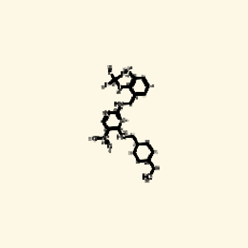 O=[N+]([O-])c1cnc(NCc2cccc(Br)c2OC(F)(F)F)nc1NCC1CCC(CO)CC1